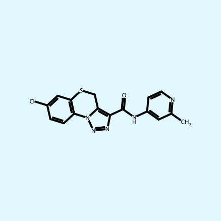 Cc1cc(NC(=O)c2nnn3c2CSc2cc(Cl)ccc2-3)ccn1